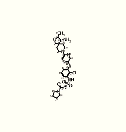 C[C@@H]1OCC2(CCN(c3cnc(Sc4cccc(NS(=O)(=O)NC(=O)N5CCCC5)c4Cl)cn3)CC2)[C@@H]1N